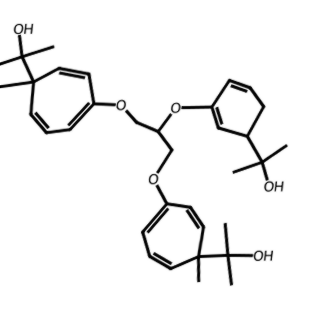 CC(C)(O)C1C=C(OC(COC2=CC=CC(C)(C(C)(C)O)C=C2)COC2=CC=CC(C)(C(C)(C)O)C=C2)C=CC1